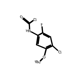 CC(C)(C)Oc1cc(NC(=O)Cl)c(F)cc1Cl